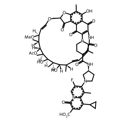 CO[C@H]1/C=C/O[C@@]2(C)Oc3c(C)c(O)c4c(c3C2=O)C(=O)C(N2CCC(C(=O)N[C@H]3CCN(c5c(F)cn6c(=O)c(C(=O)O)cc(C7CC7)c6c5C)C3)CC2)=C(NC(=O)/C(C)=C\C=C\[C@H](C)[C@H](O)[C@@H](C)[C@@H](O)[C@@H](C)[C@H](OC(C)=O)[C@@H]1C)C4=O